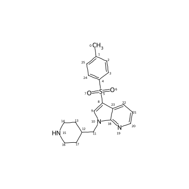 Cc1ccc(S(=O)(=O)c2cn(CC3CCNCC3)c3ncccc23)cc1